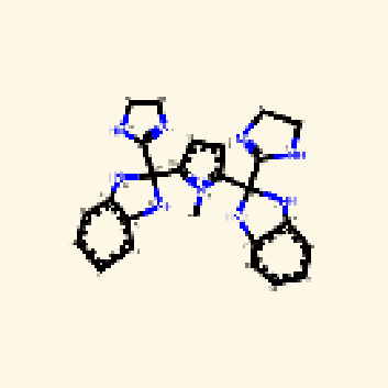 Cn1c(C2(C3=NCCN3)Nc3ccccc3N2)ccc1C1(C2=NCCN2)Nc2ccccc2N1